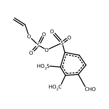 C=COS(=O)(=O)OS(=O)(=O)c1ccc(C=O)c(C(=O)O)c1S(=O)(=O)O